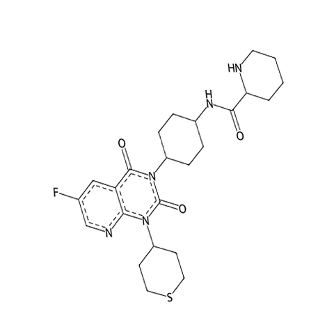 O=C(NC1CCC(n2c(=O)c3cc(F)cnc3n(C3CCSCC3)c2=O)CC1)C1CCCCN1